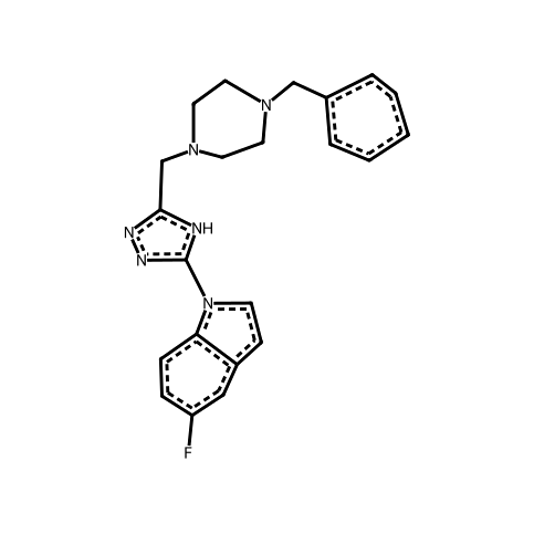 Fc1ccc2c(ccn2-c2nnc(CN3CCN(Cc4ccccc4)CC3)[nH]2)c1